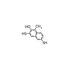 Cc1c(O)c(S)cc2cc(S)ccc12